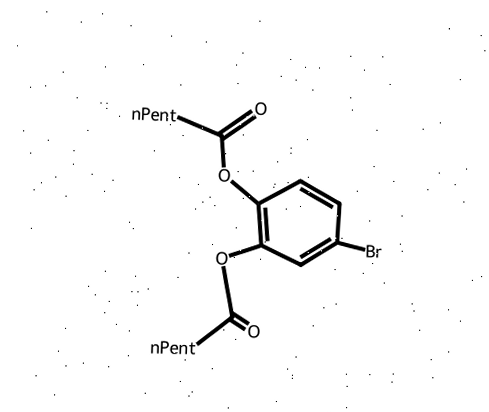 CCCCCC(=O)Oc1ccc(Br)cc1OC(=O)CCCCC